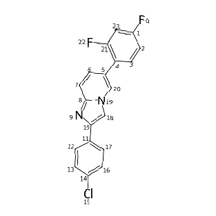 Fc1ccc(-c2ccc3nc(-c4ccc(Cl)cc4)cn3c2)c(F)c1